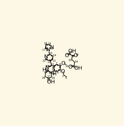 CCOc1cc2c(cc1OC)C(c1ccc(-n3cccn3)nc1)=N[C@@H]1CC[C@@H](O)C[C@H]21.O=C(O)CCC(=O)C(=O)O